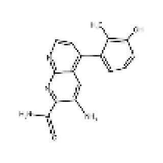 Cc1c(O)cccc1-c1ccnc2nc(C(N)=O)c(N)cc12